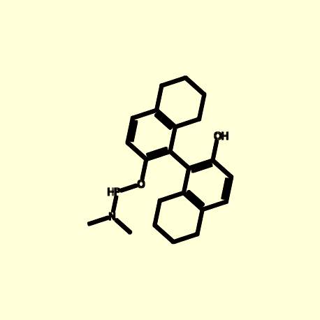 CN(C)POc1ccc2c(c1-c1c(O)ccc3c1CCCC3)CCCC2